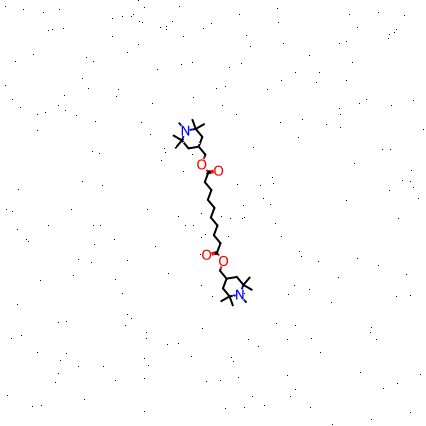 CN1C(C)(C)CC(COC(=O)CCCCCCCCC(=O)OCC2CC(C)(C)N(C)C(C)(C)C2)CC1(C)C